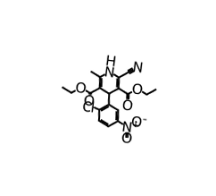 CCOC(=O)C1=C(C)NC(C#N)=C(C(=O)OCC)C1c1cc([N+](=O)[O-])ccc1Cl